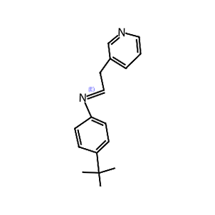 CC(C)(C)c1ccc(/N=C/Cc2cccnc2)cc1